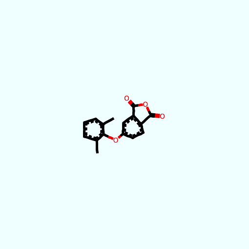 Cc1cccc(C)c1Oc1ccc2c(c1)C(=O)OC2=O